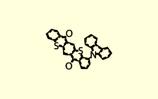 O=c1c2ccccc2sc2cc3c(=O)c4cccc(-n5c6ccccc6c6ccccc65)c4sc3cc12